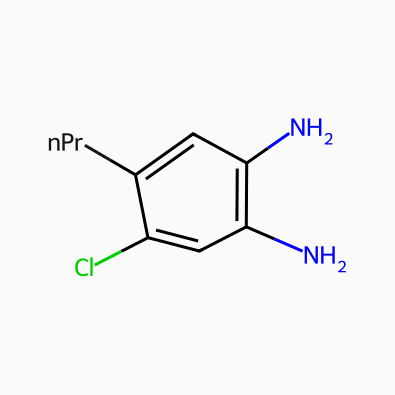 CCCc1cc(N)c(N)cc1Cl